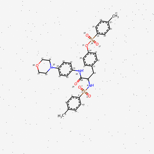 Cc1ccc(S(=O)(=O)NC(Cc2ccc(OS(=O)(=O)c3ccc(C)cc3)cc2)C(=O)Nc2ccc(N3CCOCC3)cc2)cc1